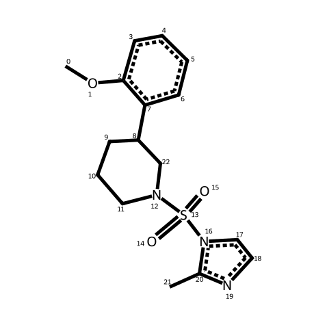 COc1ccccc1C1CCCN(S(=O)(=O)n2ccnc2C)C1